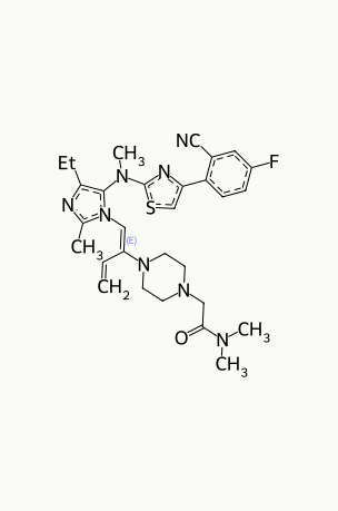 C=C/C(=C\n1c(C)nc(CC)c1N(C)c1nc(-c2ccc(F)cc2C#N)cs1)N1CCN(CC(=O)N(C)C)CC1